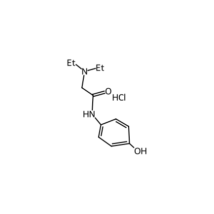 CCN(CC)CC(=O)Nc1ccc(O)cc1.Cl